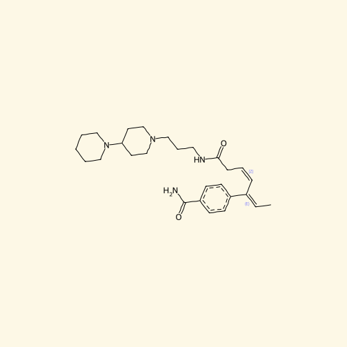 C/C=C(\C=C/CC(=O)NCCCN1CCC(N2CCCCC2)CC1)c1ccc(C(N)=O)cc1